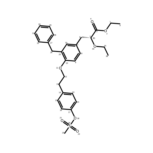 CCOC(=O)[C@@H](Cc1ccc(OCCc2ccc(OS(C)(=O)=O)cc2)c(Cc2ccccc2)c1)OCC